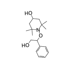 CC1(C)CC(O)CC(C)(C)N1OC(CO)c1ccccc1